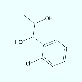 CC(O)C(O)c1ccccc1Cl